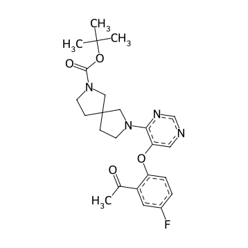 CC(=O)c1cc(F)ccc1Oc1cncnc1N1CCC2(CCN(C(=O)OC(C)(C)C)C2)C1